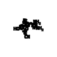 CCOc1cc(Cc2cnc(N)nc2N)cc(OCC(C)(C)C=CC#N)c1-c1ccc(O)cc1